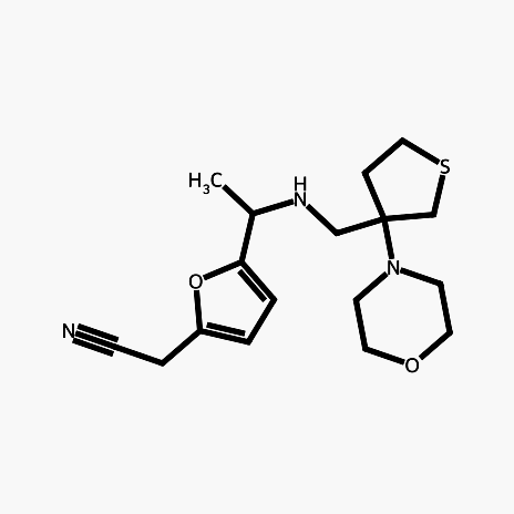 CC(NCC1(N2CCOCC2)CCSC1)c1ccc(CC#N)o1